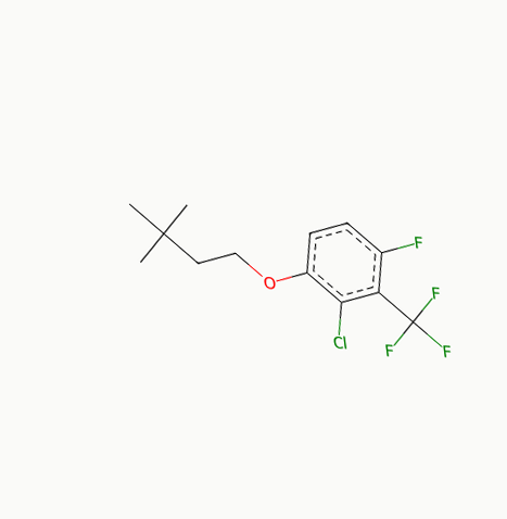 CC(C)(C)CCOc1ccc(F)c(C(F)(F)F)c1Cl